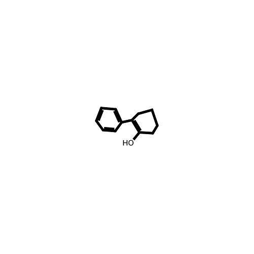 OC1=C(c2ccccc2)CCCC1